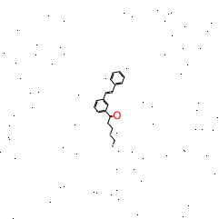 CCCCCC(=O)c1cccc(/C=C/c2ccccc2)c1